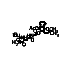 CC(=O)Oc1c(OC(=O)CNC(=O)CCC(NC(=O)C(C)(C)C)C(N)=O)c2c(c3ccccc13)OC(C)(C)CC2